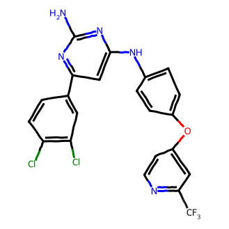 Nc1nc(Nc2ccc(Oc3ccnc(C(F)(F)F)c3)cc2)cc(-c2ccc(Cl)c(Cl)c2)n1